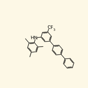 Cc1cc(C)c(Nc2cc(-c3ccc(-c4ccccc4)cc3)cc(C(F)(F)F)c2)c(C)c1